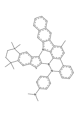 Cc1cc2c3c4c1c1cc5ccccc5cc1n4-c1c(sc4cc5c(cc14)C(C)(C)CCC5(C)C)B3N(c1ccc(N(C)C)cc1)c1ccccc1-2